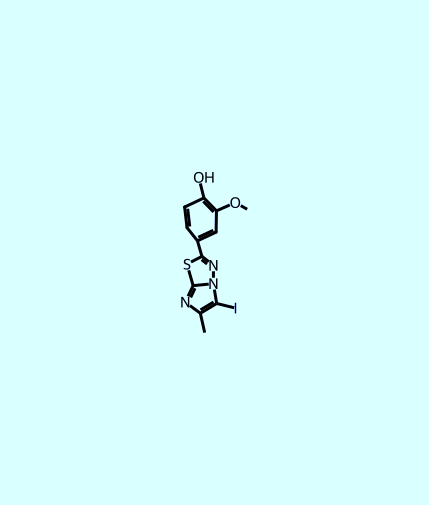 COc1cc(-c2nn3c(I)c(C)nc3s2)ccc1O